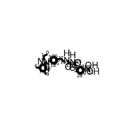 CCc1nc2c(C)cc(C)nc2n1-c1ccc(CCNC(=O)NS(=O)(=O)c2cccc(N(O)O)c2)cc1